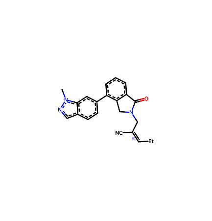 CC/C=C(/C#N)CN1Cc2c(cccc2-c2ccc3cnn(C)c3c2)C1=O